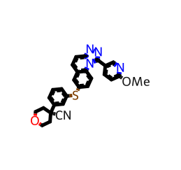 COc1ccc(-c2nnc3ccc4cc(Sc5cccc(C6(C#N)CCOCC6)c5)ccc4n23)cn1